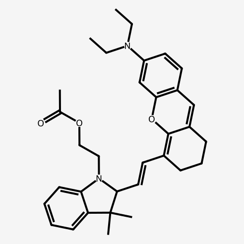 CCN(CC)c1ccc2c(c1)OC1=C(/C=C/C3N(CCOC(C)=O)c4ccccc4C3(C)C)CCCC1=C2